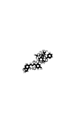 CC(=O)O[C@H]1[C@H](Oc2cc(C)cc(O)c2C(=O)CCc2ccc3occc3c2)O[C@@H]2COC(c3ccccc3)O[C@H]2[C@@H]1O[Si](C)(C)C(C)(C)C